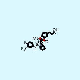 COc1ccc(CC[C@@H](C)O)cc1C(=O)N[C@@H]1C2CCC(/C2=C/C2CC2)[C@@H]1C(=O)Nc1ccc(F)c(C(F)(F)F)c1